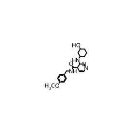 COc1ccc(CNC(=O)C2C=CN=NC2NC2CCCC(O)C2)cc1